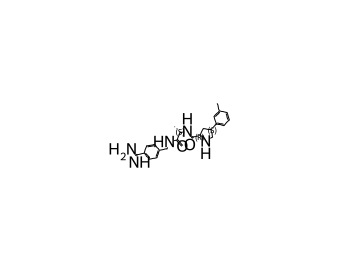 Cc1cccc([C@H]2CN[C@@H](C(=O)N[C@@H](C)C(=O)NCc3ccc(C(=N)N)cc3)C2)c1